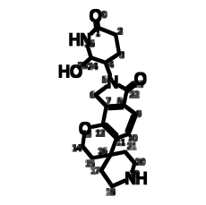 O=C1CCC(N2Cc3c(ccc4c3OCCC43CCNCC3)C2=O)C(O)N1